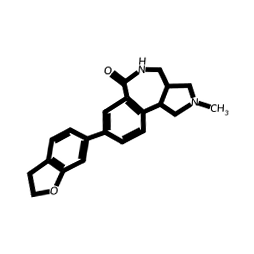 CN1CC2CNC(=O)c3cc(-c4ccc5c(c4)OCC5)ccc3C2C1